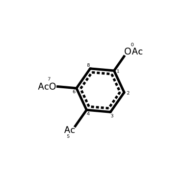 CC(=O)Oc1ccc(C(C)=O)c(OC(C)=O)c1